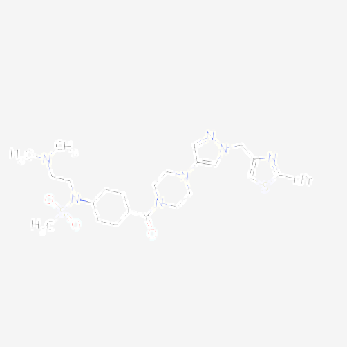 CCCc1nc(Cn2cc(N3CCN(C(=O)[C@H]4CC[C@H](N(CCN(C)C)S(C)(=O)=O)CC4)CC3)cn2)cs1